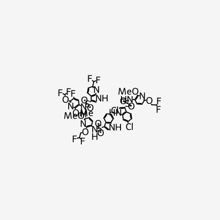 COc1ccc(NS(=O)(=O)c2c[nH]c3cc(Cl)ccc23)c(OCC(F)F)n1.COc1nc(OC(F)F)c(F)cc1NS(=O)(=O)c1c[nH]c2nc(C(F)F)ccc12.COc1nc(OCC(F)F)ccc1NS(=O)(=O)c1c[nH]c2cc(Cl)ccc12